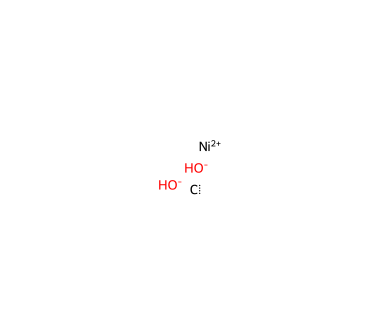 [C].[Ni+2].[OH-].[OH-]